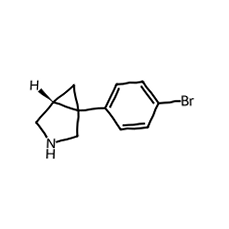 Brc1ccc(C23CNC[C@@H]2C3)cc1